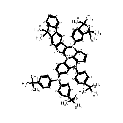 CC(C)(C)c1ccc(N(c2ccc(C(C)(C)C)cc2)c2ccc3c(c2)N(c2ccc(C(C)(C)C)cc2)c2cccc4c2B3c2sc3cc5c(cc3c2N4c2ccc3c(c2)C(C)(C)OC3(C)C)-c2ccccc2C5(C)C)cc1